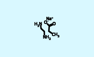 CCC(=O)[O-].NCCN.[Na+]